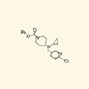 CC(C)OC(=O)N1CCC(N(Cc2ccc(Cl)nc2)C2CC2)CC1